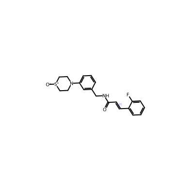 O=C(/C=C/c1ccccc1F)NCc1cccc(N2CC[S+]([O-])CC2)c1